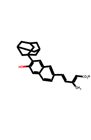 CC(C=Cc1ccc2cc(O)c(C34CC5CC(CC(C5)C3)C4)cc2c1)=CC(=O)O